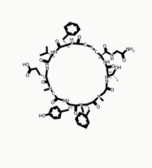 CC(C)[C@@H]1NC(=O)[C@H](Cc2ccccc2)NC(=O)CSC[C@@H](C(=O)NCC(N)=O)NC(=O)[C@H]([C@@H](C)O)NC(=O)CN(C)C(=O)[C@H](Cc2ccccc2)N(C)C(=O)[C@H](Cc2ccc(O)cc2)NC(=O)CN(C)C(=O)[C@H](CCC(=O)O)NC1=O